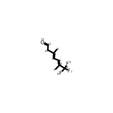 C/C(=C\C=C(/C)C(F)(F)F)CC=O